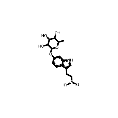 CCN(CCc1c[nH]c2cc(OC3OC(C)C(O)C(O)C3O)ccc12)C(C)C